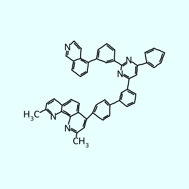 Cc1ccc2ccc3c(-c4ccc(-c5cccc(-c6cc(-c7ccccc7)nc(-c7cccc(-c8cccc9cnccc89)c7)n6)c5)cc4)cc(C)nc3c2n1